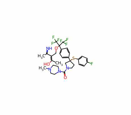 CC(=N)/C(COC(c1ccc([C@]2(Sc3ccc(F)cc3)CCN(C(=O)N3CCN(C)CC3)C2)cc1)(C(F)(F)F)C(F)(F)F)=C(/C)O